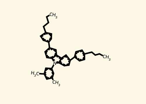 CCCCc1ccc(-c2ccc3c(c2)c2cc(-c4ccc(CCCC)cc4)ccc2n3-c2cc(C)cc(C)c2)cc1